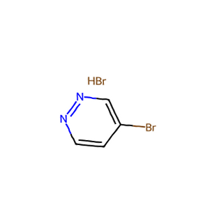 Br.Brc1ccnnc1